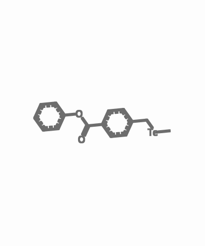 C[Te]Cc1ccc(C(=O)Oc2ccccc2)cc1